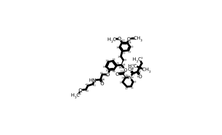 CCC(C)(C)C(=O)C(=O)N1CCCC[C@H]1C(=O)O[C@H](CCc1ccc(OC)c(OC)c1)c1cccc(OCC(=O)NCCCOC)c1